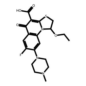 CCOC1CSc2c(C(=O)O)c(=O)c3cc(F)c(N4CCN(C)CC4)cc3n21